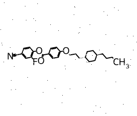 CCCC[C@H]1CC[C@H](CCCOc2ccc(C(=O)Oc3ccc(C#N)cc3F)cc2)CC1